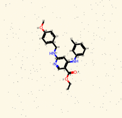 CCOC(=O)c1cnc(NCc2ccc(OC)cc2)cc1Nc1cccc(C)c1